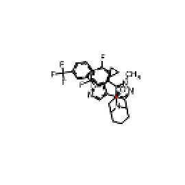 Cn1nc2c(c1-c1cc(F)cc(F)c1)CC1CCCC2N1C(=O)c1cnn(-c2cccc(C(F)(F)F)c2)c1C1CC1